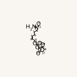 NN(C=O)CCC/C=C\COC(=O)ON1C(=O)CCC1=O